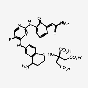 CNC(=O)C=C1C=CC=C(Nc2ncc(F)c(Nc3ccc4c(c3)C(N)CCO4)n2)C1=O.O=C(O)CC(O)(CC(=O)O)C(=O)O